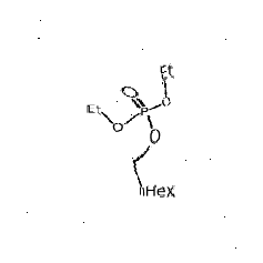 CCCCCCCOP(=O)(OCC)OCC